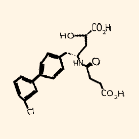 O=C(O)CCC(=O)N[C@H](Cc1ccc(-c2cccc(Cl)c2)cc1)C[C@@H](O)C(=O)O